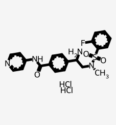 CN(CC(N)c1ccc(C(=O)Nc2ccncc2)cc1)S(=O)(=O)c1ccccc1F.Cl.Cl